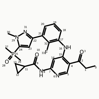 CCC(=O)c1cnc(NC(=O)C2CC2)cc1Nc1cccc(-c2cc(P(C)(C)=O)n(C)n2)c1F